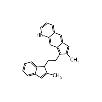 CC1=Cc2ccccc2C1CCc1c(C)cc2cc3ccc[nH]c3cc12